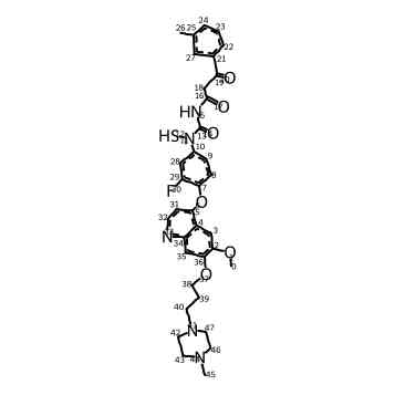 COc1cc2c(Oc3ccc(N(S)C(=O)NC(=O)CC(=O)c4cccc(C)c4)cc3F)ccnc2cc1OCCCN1CCN(C)CC1